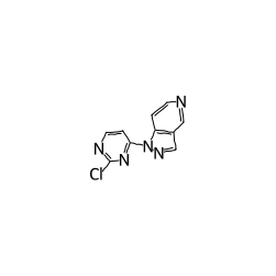 Clc1nccc(-n2ncc3cnccc32)n1